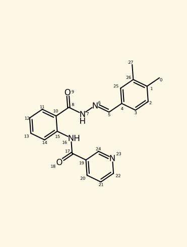 Cc1ccc(C=NNC(=O)c2ccccc2NC(=O)c2cccnc2)cc1C